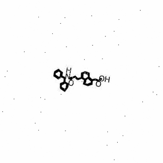 O=C(O)Cc1cccc2c(CCC(=O)NC(c3ccccc3)c3ccccc3)cccc12